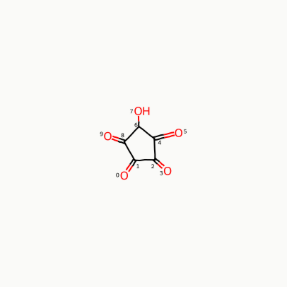 O=C1C(=O)C(=O)C(O)C1=O